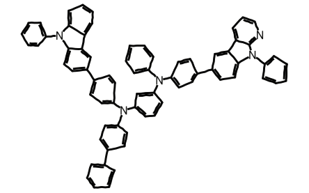 c1ccc(-c2ccc(N(c3ccc(-c4ccc5c(c4)c4ccccc4n5-c4ccccc4)cc3)c3cccc(N(c4ccccc4)c4ccc(-c5ccc6c(c5)c5cccnc5n6-c5ccccc5)cc4)c3)cc2)cc1